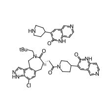 CC(C)(C)CN1Cc2c(cc(Cl)c3[nH]ncc23)C[C@@H](CC(=O)N2CCC(c3cc4cnccc4[nH]c3=O)CC2)C1=O.O=c1[nH]c2ccncc2cc1C1CCNCC1